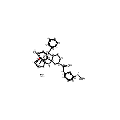 CC[N+]12CCC(CC1)CC2OC1(c2ccc(Cl)c(Cl)c2)CN(C(=O)Cc2cccc(OC(C)C)c2)CCC1Cc1ccccc1.[Cl-]